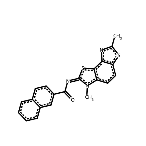 Cc1nc2c(ccc3c2s/c(=N/C(=O)c2ccc4ccccc4c2)n3C)s1